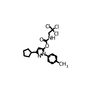 Cc1ccc(-n2nc(C3CCCC3)cc2OC(=O)NCC(Cl)(Cl)Cl)cc1